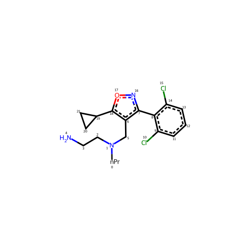 CCCN(CCN)Cc1c(-c2c(Cl)cccc2Cl)noc1C1CC1